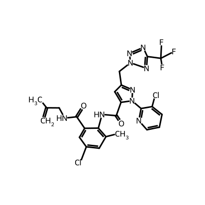 C=C(C)CNC(=O)c1cc(Cl)cc(C)c1NC(=O)c1cc(Cn2nnc(C(F)(F)F)n2)nn1-c1ncccc1Cl